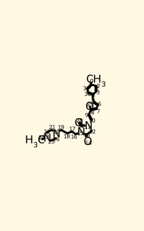 Cc1ccc(-c2ccc(/C=C/N3CC(=O)N(CCCCN4CCN(C)CC4)C3=O)o2)cc1